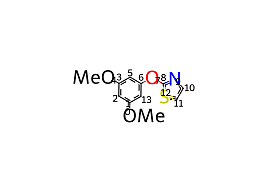 COc1cc(OC)cc(Oc2nc[c]s2)c1